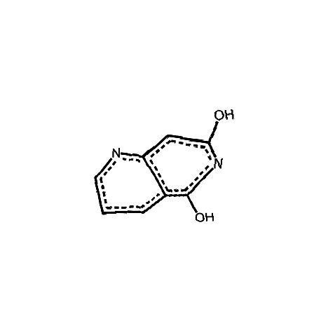 Oc1cc2ncccc2c(O)n1